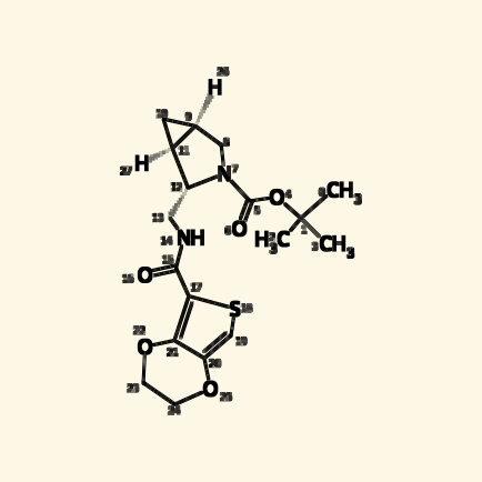 CC(C)(C)OC(=O)N1C[C@@H]2C[C@@H]2[C@H]1CNC(=O)c1scc2c1OCCO2